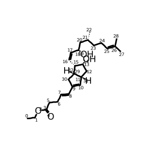 CCOC(=O)CCC=CC1=C[C@H]2C[C@@H](O)[C@@H](/C=C\[C@H](O)C[C@H](C)CCC=C(C)C)[C@H]2C1